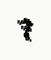 Cc1cc(F)c(/N=C(/NCc2ccc(C(F)(F)F)cc2)C(F)(F)F)cc1[S+]([O-])CC(F)(F)F